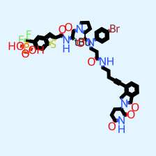 CC(C)(C)C(NC(=O)c1cc2cc(C(F)(F)P(=O)(O)O)ccc2s1)C(=O)N1CCC[C@H]1C(=O)N(CCC(=O)NCCCC#Cc1cccc2c1CN(C1CCC(=O)NC1=O)C2=O)c1ccc(Br)cc1